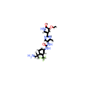 CCOc1cc(-c2ncc(NC(=O)Nc3ccc(C(C)(C)CN)c(C(F)(F)F)c3)c(C)n2)c[nH]c1=O